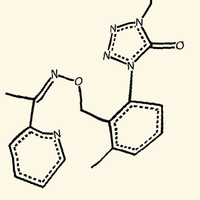 C/C(=N/OCc1c(C)cccc1-n1nnn(C)c1=O)c1ccccn1